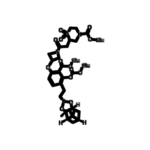 CC(C)(C)OC(=O)Oc1c(CCB2O[C@@H]3C[C@@H]4C[C@@H](C4(C)C)[C@]3(C)O2)ccc(OC2CN(C(=O)CC3CN(C(=O)OC(C)(C)C)CCS3(=O)=O)C2)c1C(=O)OC(C)(C)C